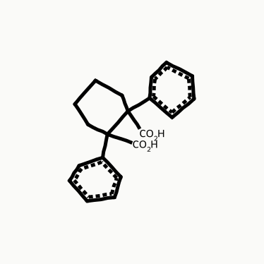 O=C(O)C1(c2ccccc2)CCCCC1(C(=O)O)c1ccccc1